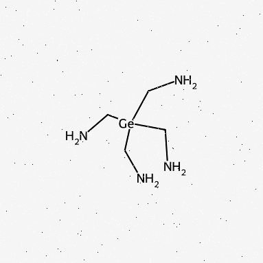 N[CH2][Ge]([CH2]N)([CH2]N)[CH2]N